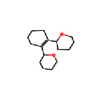 C1CCC(C2=C(C3CCCCO3)CCCC2)OC1